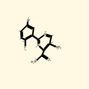 NC(=O)c1nc(-c2cc(Br)ccc2F)ncc1N